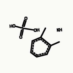 Cc1ccccc1C.O=S(=O)(O)O.[KH]